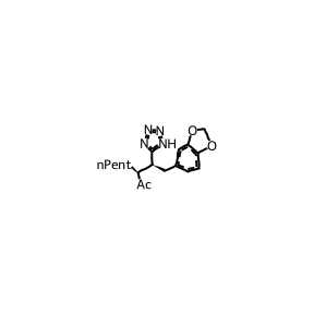 CCCCC[C@H](C(C)=O)[C@H](Cc1ccc2c(c1)OCO2)c1nnn[nH]1